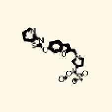 CS(=O)(=O)N(OC=O)C1CCN(Cc2cc3ccc(Oc4nc5ncccc5s4)cc3o2)C1